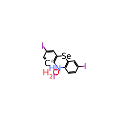 IC1=CC2=C([C+]=C1)Nc1ccc(I)cc1[Se]2.O.[I-]